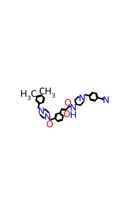 Cc1ccc(CN2CCN(C(=O)c3ccc4oc(C(=O)NC5CCN(Cc6ccc(C#N)cc6)CC5)cc4c3)CC2)cc1C